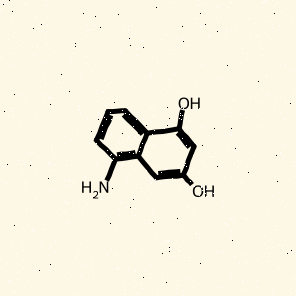 Nc1cccc2c(O)cc(O)cc12